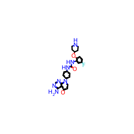 Nc1ncnc2c1c(=O)ccn2-c1ccc(NC(=O)Nc2cc(F)ccc2OC2CCNCC2)cc1